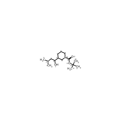 CN(C)CC(O)C1CCCN(C(=O)OC(C)(C)C)C1